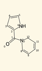 O=C(c1ccc[nH]1)N1C=CC=CC1